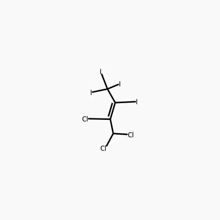 ClC(=C(I)C(I)(I)I)C(Cl)Cl